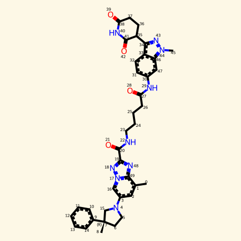 Cc1cc(N2CC[C@](C)(c3ccccc3)C2)cn2nc(C(=O)NCCCCC(=O)Nc3ccc4c(C5CCC(=O)NC5=O)nn(C)c4c3)nc12